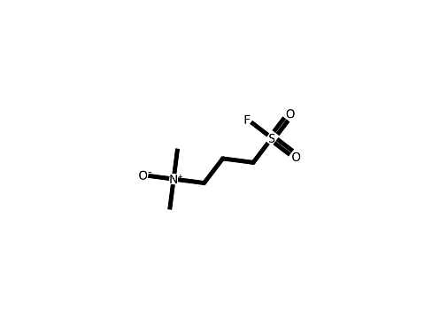 C[N+](C)([O-])CCCS(=O)(=O)F